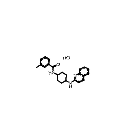 Cc1cccc(C(=O)NC2CCC(Nc3ccc4ccccc4n3)CC2)c1.Cl